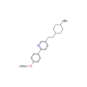 CCCCCCOc1ccc(-c2ccc(CCC3CCC(CCCC)CC3)cn2)cc1